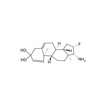 C[C@]12CC[C@H]3[C@@H](CC=C4CC(O)(O)C=C[C@@]43C)[C@@H]1C[C@H](F)[C@@H]2N